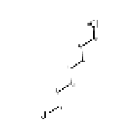 FCCCCCCCCl